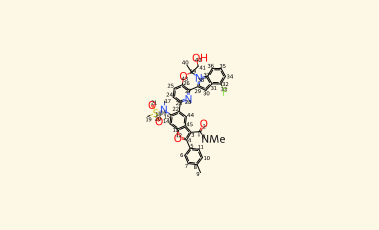 CNC(=O)c1c(-c2ccc(C)cc2)oc2cc(N(C)S(C)(=O)=O)c(-c3ccc4c(n3)-c3cc5c(F)cccc5n3C(C)(CO)O4)cc12